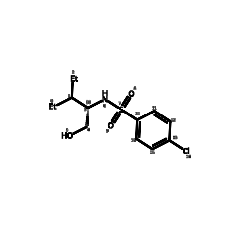 CCC(CC)[C@@H](CO)NS(=O)(=O)c1ccc(Cl)cc1